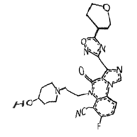 N#Cc1c(F)ccc2c1n(CCN1CCC(O)CC1)c(=O)c1c(-c3noc(C4CCOC4)n3)ncn12